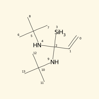 C=CC([SiH3])(NC(C)(C)C)NC(C)(C)C